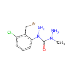 CN(N)C(=O)N(N)c1cccc(Cl)c1CBr